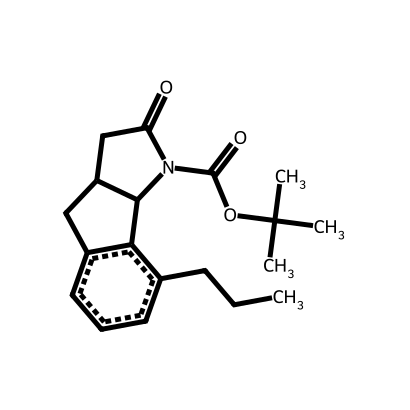 CCCc1cccc2c1C1C(CC(=O)N1C(=O)OC(C)(C)C)C2